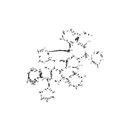 c1ccc(B2c3cccc4c3-n3c5c2c(N(c2ccccc2)c2ccccc2)cc2c6ccccc6c6cc(N(c7ccccc7)c7ccccc7)c(c3c6c25)B4c2ccccc2)cc1